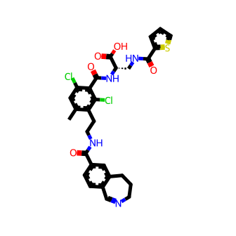 Cc1cc(Cl)c(C(=O)N[C@@H](CNC(=O)c2cccs2)C(=O)O)c(Cl)c1CCNC(=O)c1ccc2c(c1)CCCN=C2